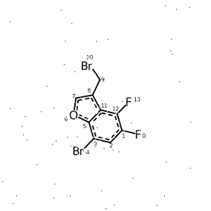 Fc1cc(Br)c2occ(CBr)c2c1F